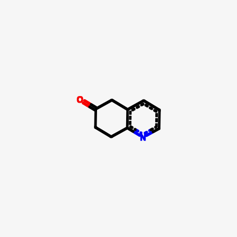 O=C1CCc2ncccc2C1